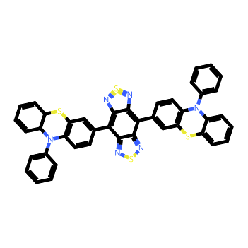 C1=CC2Sc3cc(-c4c5c(c(-c6ccc7c(c6)Sc6ccccc6N7c6ccccc6)c6nsnc46)N=S=N5)ccc3N(c3ccccc3)C2C=C1